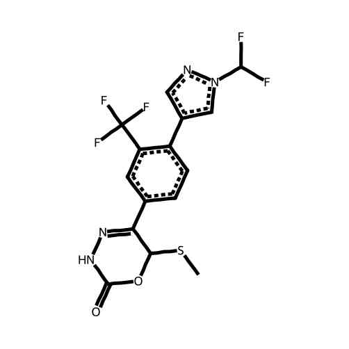 CSC1OC(=O)NN=C1c1ccc(-c2cnn(C(F)F)c2)c(C(F)(F)F)c1